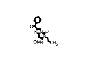 C=CCn1c(OC)cc2nc(C(=O)c3ccccc3)cn2c1=O